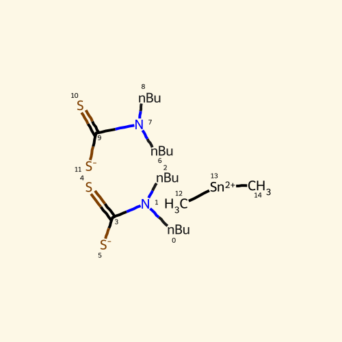 CCCCN(CCCC)C(=S)[S-].CCCCN(CCCC)C(=S)[S-].[CH3][Sn+2][CH3]